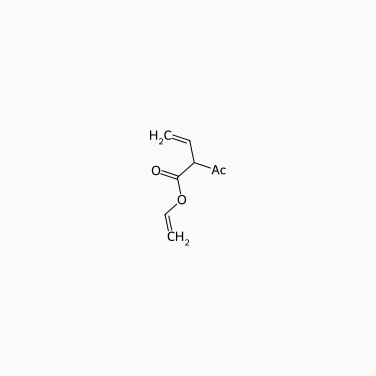 C=COC(=O)C(C=C)C(C)=O